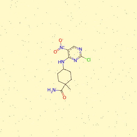 CC1(C(N)=O)CCC(Nc2nc(Cl)ncc2[N+](=O)[O-])CC1